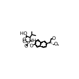 COC[C@@H](C=O)c1ccc2cc(OP(=O)(Cl)NC(C(=O)O)C(C)C)ccc2c1